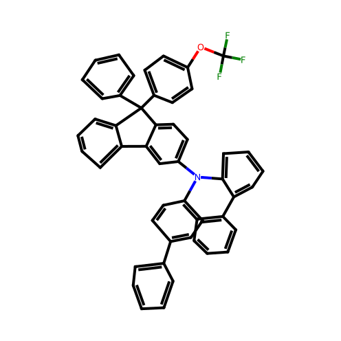 FC(F)(F)Oc1ccc(C2(c3ccccc3)c3ccccc3-c3cc(N(c4ccc(-c5ccccc5)cc4)c4ccccc4-c4ccccc4)ccc32)cc1